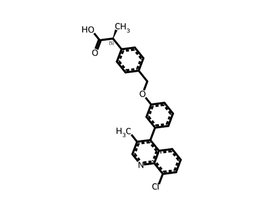 Cc1cnc2c(Cl)cccc2c1-c1cccc(OCc2ccc([C@H](C)C(=O)O)cc2)c1